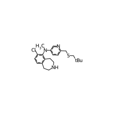 CN(c1ccc(CSCC(C)(C)C)nc1)c1c(Cl)ccc2c1CCNCC2